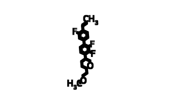 C/C=C/c1ccc(-c2ccc(C3CCC(CCOC)OC3)c(F)c2F)cc1F